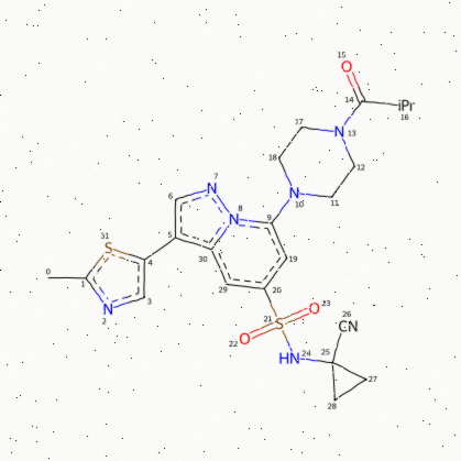 Cc1ncc(-c2cnn3c(N4CCN(C(=O)C(C)C)CC4)cc(S(=O)(=O)NC4(C#N)CC4)cc23)s1